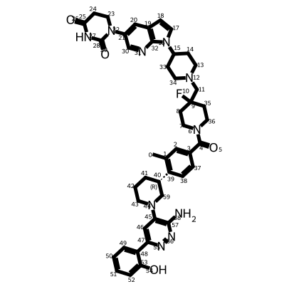 Cc1cc(C(=O)N2CCC(F)(CN3CCC(n4ccc5cc(N6CCC(=O)NC6=O)cnc54)CC3)CC2)ccc1[C@H]1CCCN(c2cc(-c3ccccc3O)nnc2N)C1